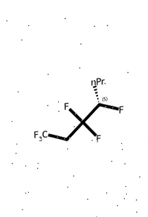 [CH2]CC[C@H](F)C(F)(F)CC(F)(F)F